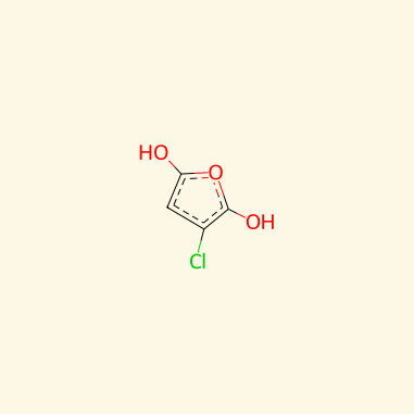 Oc1cc(Cl)c(O)o1